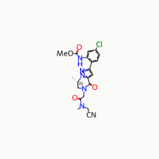 COC(=O)Nc1cc(Cl)ccc1-c1cc2n(n1)[C@@H](C)CN(CC(=O)N(C)CC#N)C2=O